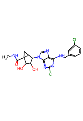 CNC(=O)C12CC1C(n1cnc3c(NCc4cccc(Cl)c4)nc(Cl)nc31)C(O)C2O